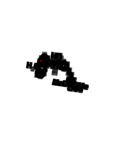 COc1cc(CCCN2CCN(CC(O)COc3ccccc3C3(C(C)C)Sc4ccccc4N(C)C3=O)CC2)cc(OC)c1OC.Cl.Cl